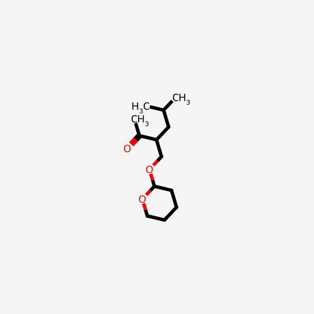 CC(=O)C(COC1CCCCO1)CC(C)C